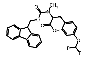 CN(C(=O)OCC1c2ccccc2-c2ccccc21)[C@@H](Cc1ccc(OC(F)F)cc1)C(=O)O